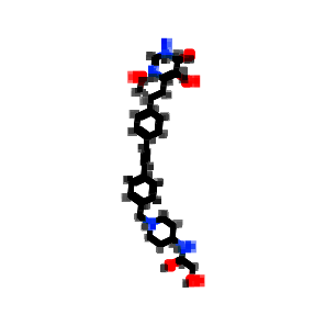 O=C(CO)NC1CCN(Cc2ccc(C#Cc3ccc([C@H](CO)Cc4nc[nH]c(=O)c4O)cc3)cc2)CC1